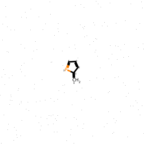 C=C1C=CC=P1